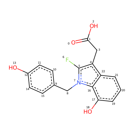 O=C(O)Cc1c(F)n(Cc2ccc(O)cc2)c2c(O)cccc12